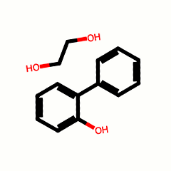 OCCO.Oc1ccccc1-c1ccccc1